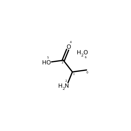 CC(N)C(=O)O.O